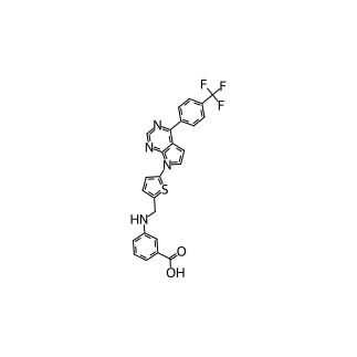 O=C(O)c1cccc(NCc2ccc(-n3ccc4c(-c5ccc(C(F)(F)F)cc5)ncnc43)s2)c1